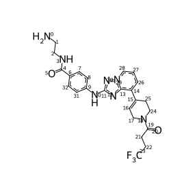 NCCNC(=O)c1ccc(Nc2nc3c(C4=CCN(C(=O)CCC(F)(F)F)CC4)cccn3n2)cc1